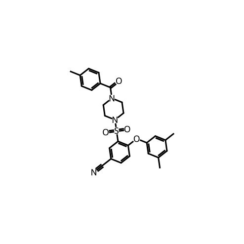 Cc1ccc(C(=O)N2CCN(S(=O)(=O)c3cc(C#N)ccc3Oc3cc(C)cc(C)c3)CC2)cc1